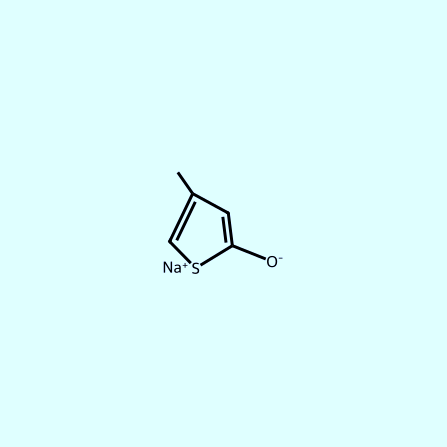 Cc1csc([O-])c1.[Na+]